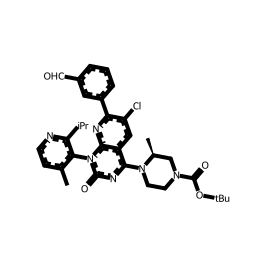 Cc1ccnc(C(C)C)c1-n1c(=O)nc(N2CCN(C(=O)OC(C)(C)C)C[C@@H]2C)c2cc(Cl)c(-c3cccc(C=O)c3)nc21